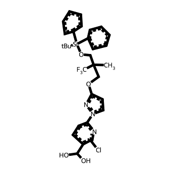 CC(COc1ccn(-c2ccc(C(O)O)c(Cl)n2)n1)(CO[Si](c1ccccc1)(c1ccccc1)C(C)(C)C)C(F)(F)F